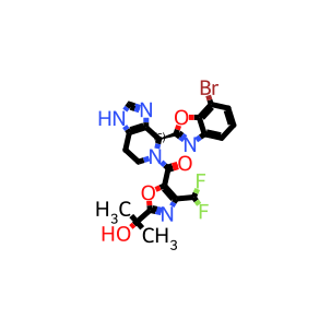 CC(C)(O)c1nc(C(F)F)c(C(=O)N2CCc3[nH]cnc3[C@H]2c2nc3cccc(Br)c3o2)o1